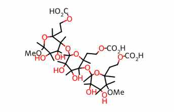 COC1(C)OC(C)(CCOC(=O)O)C(C)(OC2(C)OC(C)(CCOC(=O)O)C(C)(OC3(C)OC(C)(CCOC(=O)O)C(C)(OC)C(C)(O)C3(C)O)C(C)(O)C2(C)O)C(C)(O)C1(C)O